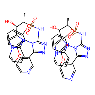 COc1cccc(OC)c1-n1c(NS(=O)(=O)[C@@H](C)[C@H](O)c2cn3ccccc3n2)nnc1-c1cccnc1.COc1cccc(OC)c1-n1c(NS(=O)(=O)[C@H](C)[C@@H](O)c2cn3ccccc3n2)nnc1-c1cccnc1